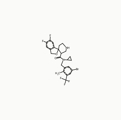 Cc1c(CN(C(=O)C2CNCCC23OCc2cc(F)c(F)cc23)C2CC2)cc(Br)cc1C(F)(F)F